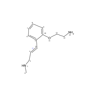 CNC/C=C/c1ccccc1OCCN